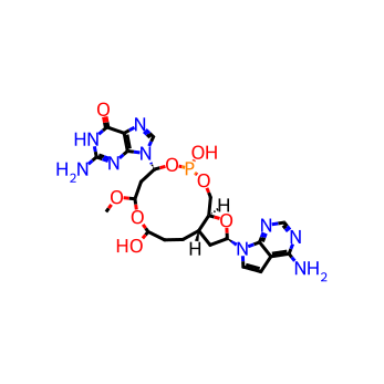 COC1C[C@H](n2cnc3c(=O)[nH]c(N)nc32)OP(O)OC[C@H]2O[C@@H](n3ccc4c(N)ncnc43)C[C@@H]2CCC(O)O1